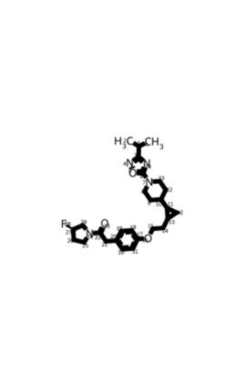 CC(C)c1noc(N2CCC(C3CC3CCOc3ccc(CC(=O)N4CC[C@@H](F)C4)cc3)CC2)n1